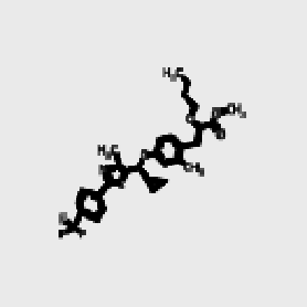 CCCCOC(Cc1ccc(OC(c2sc(-c3ccc(C(F)(F)F)cc3)nc2C)C2CC2)cc1C)C(=O)OC